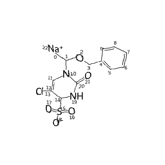 CC(OCc1ccccc1)N1C=C(Cl)C(S(=O)(=O)[O-])NC1=O.[Na+]